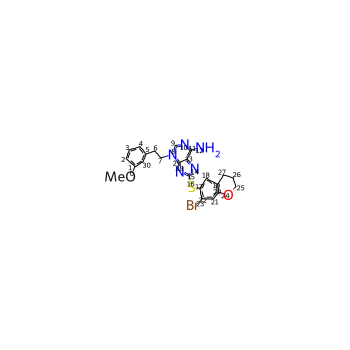 COc1cccc(CCn2cnc(N)c3nc(Sc4cc5c(cc4Br)OCCC5)nc2-3)c1